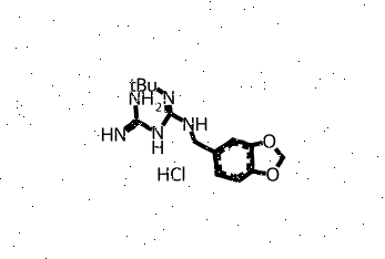 CC(C)(C)N=C(NCc1ccc2c(c1)OCO2)NC(=N)N.Cl